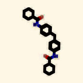 O=C(Nc1ccc(Cc2ccc(NC(=O)C3CCCCC3)cc2)cc1)C1CCCCC1